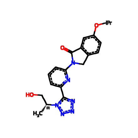 CC(C)Oc1ccc2c(c1)C(=O)N(c1cccc(-c3nnnn3[C@H](C)CO)n1)C2